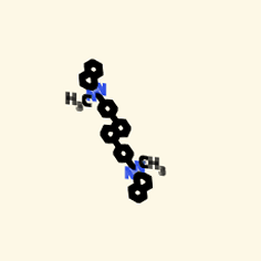 Cn1c(-c2ccc(-c3cccc4c(-c5ccc(-c6nc7c8ccccc8ccc7n6C)cc5)cccc34)cc2)nc2c3ccccc3ccc21